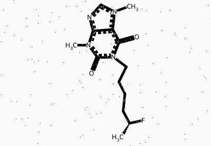 C[C@H](F)CCCCn1c(=O)c2c(ncn2C)n(C)c1=O